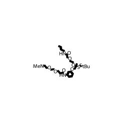 C/C=C/CNC(=O)COCCOC(C)(COc1cccc(NC(=O)CCOCCOCCNC)c1)SSC(C)(C)C